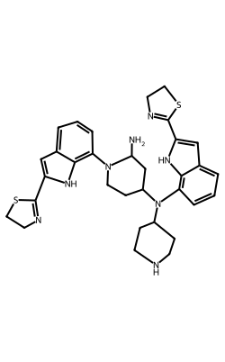 NC1CC(N(c2cccc3cc(C4=NCCS4)[nH]c23)C2CCNCC2)CCN1c1cccc2cc(C3=NCCS3)[nH]c12